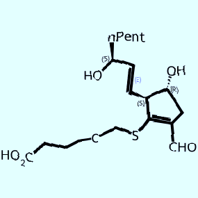 CCCCC[C@H](O)/C=C/[C@@H]1C(SCCCCCC(=O)O)=C(C=O)C[C@H]1O